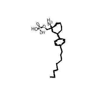 CCCCCCCCc1ccc(C2CCCC(N)(COP(=O)(O)O)C2)cc1